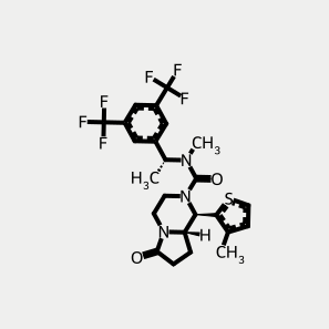 Cc1ccsc1[C@H]1[C@@H]2CCC(=O)N2CCN1C(=O)N(C)[C@H](C)c1cc(C(F)(F)F)cc(C(F)(F)F)c1